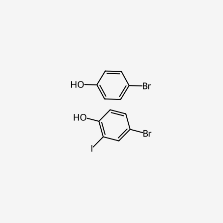 Oc1ccc(Br)cc1.Oc1ccc(Br)cc1I